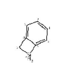 c1ccc2c(c1)C[SiH2]2